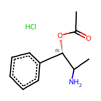 CC(=O)O[C@@H](c1ccccc1)C(C)N.Cl